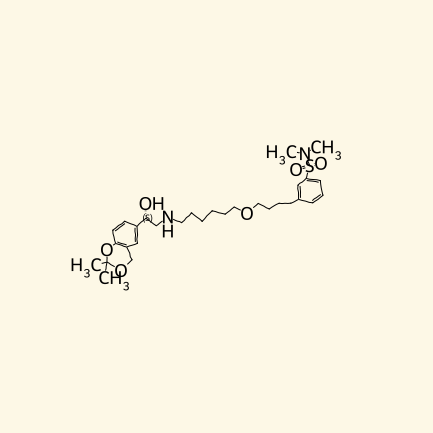 CN(C)S(=O)(=O)c1cccc(CCCCOCCCCCCNC[C@@H](O)c2ccc3c(c2)COC(C)(C)O3)c1